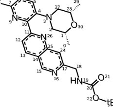 C[C@@H]1CN(c2ccc(F)nc2-c2ccc3cnc(CNC(=O)OC(C)(C)C)cc3n2)C[C@H](C)O1